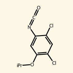 CC(C)Oc1cc(N=C=O)c(Cl)cc1Cl